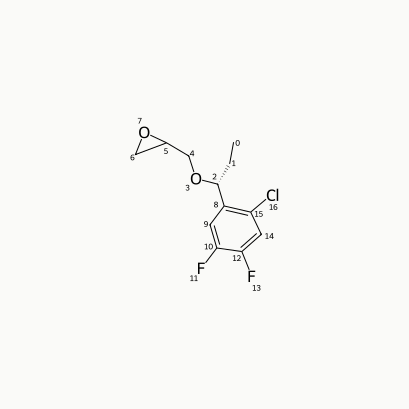 CC[C@@H](OCC1CO1)c1cc(F)c(F)cc1Cl